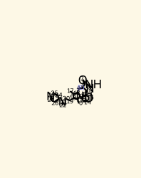 Cc1[nH]c(/C=C2/C(=O)NN=C2c2ccco2)c(C)c1CCN(C)c1ccncc1